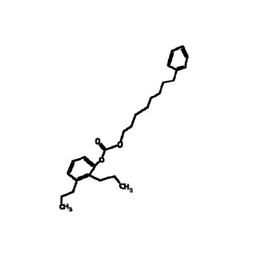 CCCc1cccc(OC(=O)OCCCCCCCCc2ccccc2)c1CCC